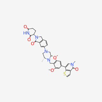 COc1cc(-c2cn(C)c(=O)c3ccsc23)cc(OC)c1CN1[C@H](C)CN(c2ccc3c(c2)C(=O)N(C2CCC(=O)NC2=O)C3)C[C@H]1C